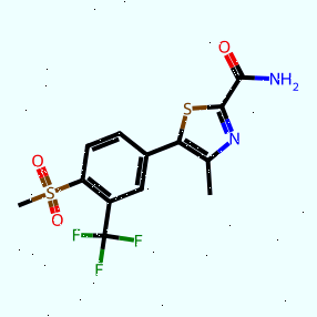 Cc1nc(C(N)=O)sc1-c1ccc(S(C)(=O)=O)c(C(F)(F)F)c1